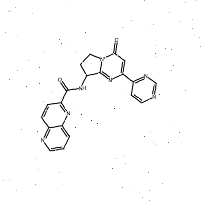 O=C(NC1CCn2c1nc(-c1ccncn1)cc2=O)c1ccc2ncccc2n1